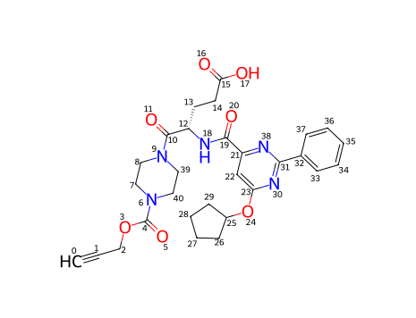 C#CCOC(=O)N1CCN(C(=O)[C@H](CCC(=O)O)NC(=O)c2cc(OC3CCCC3)nc(-c3ccccc3)n2)CC1